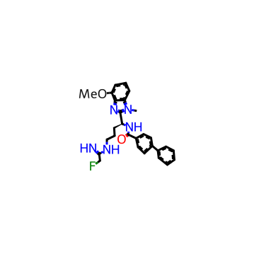 COc1cccc2c1nc([C@H](CCCNC(=N)CF)NC(=O)c1ccc(-c3ccccc3)cc1)n2C